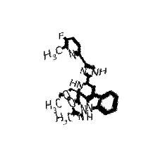 CCOC[C@@]1(c2nnc(C)o2)NC(c2nc(-c3ccc(F)c(C)n3)c[nH]2)Cc2c1[nH]c1ccccc21